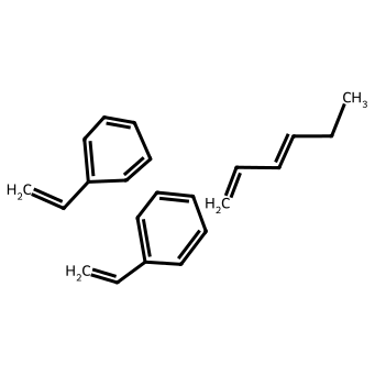 C=CC=CCC.C=Cc1ccccc1.C=Cc1ccccc1